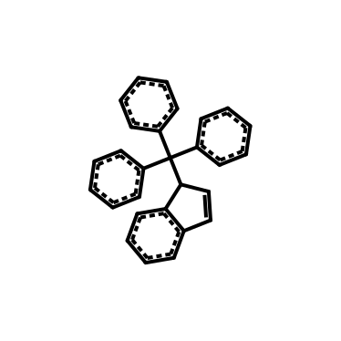 C1=CC(C(c2ccccc2)(c2ccccc2)c2ccccc2)c2ccccc21